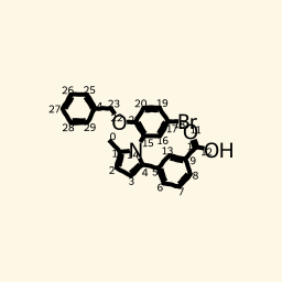 Cc1ccc(-c2cccc(C(=O)O)c2)n1-c1cc(Br)ccc1OCc1ccccc1